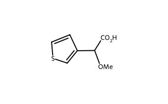 COC(C(=O)O)c1ccsc1